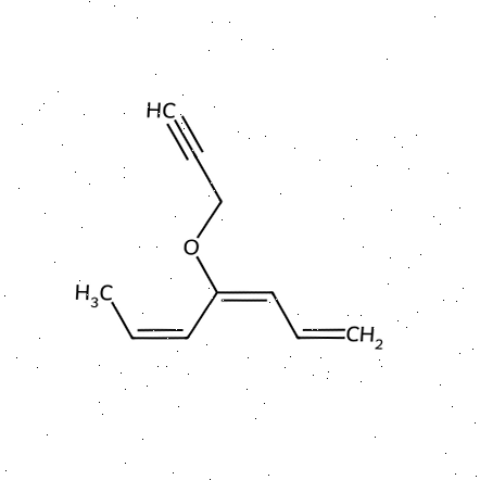 C#CCOC(/C=C\C)=C/C=C